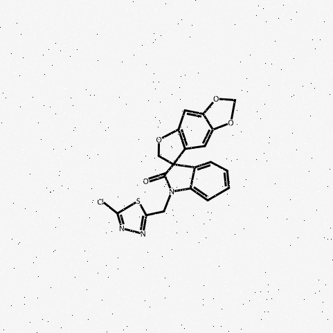 O=C1N(Cc2nnc(Cl)s2)c2ccccc2C12COc1cc3c(cc12)OCO3